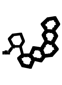 CCCCN1CCCCC1c1cccc2cc3ccc4cc5ccccc5cc4c3cc12